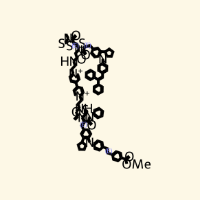 C=C(ONCC[n+]1ccc(-c2cc[n+](CCNC(=O)Cn3c(=O)/c(=C\c4ccc5c(c4)C4CCCC4N5c4ccc(C=C(c5ccccc5)c5ccccc5)cc4)s/c3=C3/SC(=S)N(C)C3=O)cc2)cc1)N1C(=S)N(c2ccccc2)C(=O)/C1=C\c1ccc2c(c1)C1CCCC1N2c1ccc(/C=C/c2ccc(C(=O)OC)cc2)cc1